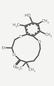 CCC1CCc2c(C)c(O)c(C)c(C)c2OCCCC(C)(C)C(=O)O1